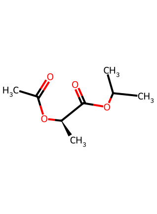 CC(=O)O[C@H](C)C(=O)OC(C)C